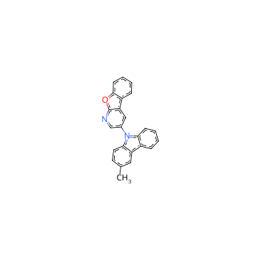 Cc1ccc2c(c1)c1ccccc1n2-c1cnc2oc3ccccc3c2c1